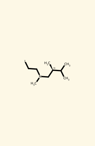 CC(C)[C@H](C)CN(C)CCI